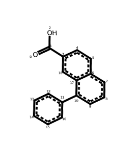 O=C(O)c1ccc2cccc(-c3ccccc3)c2c1